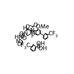 COc1cc(-c2cccc(C(F)(F)F)c2)cc(F)c1N1C(=O)CO[C@H]2CN(S(=O)(=O)Nc3ccon3)CC[C@@H]21.OB(O)c1cccc(C(F)(F)F)c1